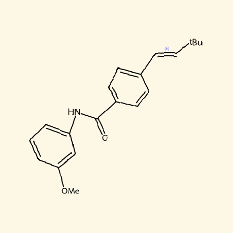 COc1cccc(NC(=O)c2ccc(/C=C/C(C)(C)C)cc2)c1